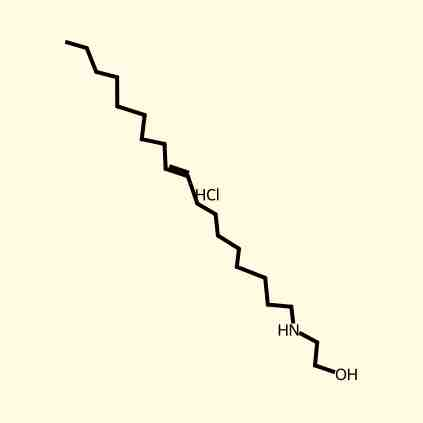 CCCCCCCCC=CCCCCCCCCNCCO.Cl